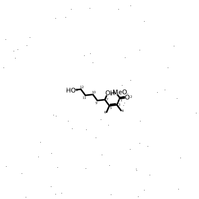 COC(=O)C(C)=C(C)C(O)CCCCO